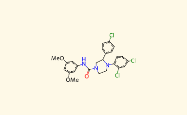 COc1cc(NC(=O)N2CCN(c3ccc(Cl)cc3Cl)C(c3ccc(Cl)cc3)C2)cc(OC)c1